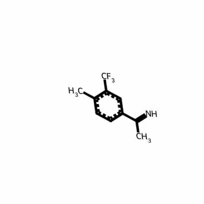 CC(=N)c1ccc(C)c(C(F)(F)F)c1